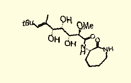 CO[C@@H](C(=O)N[C@H]1CCCCNC1=O)[C@H](O)[C@@H](O)[C@H](O)/C(C)=C/C(C)(C)C